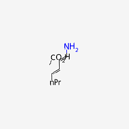 CC(=O)O.CCC/C=C/C=C/N